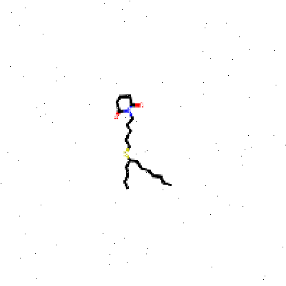 CCCCCCCC(CCCC)SCCCCCN1C(=O)CCCC1=O